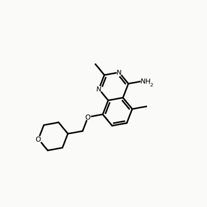 Cc1nc(N)c2c(C)ccc(OCC3CCOCC3)c2n1